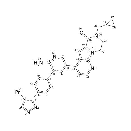 CC(C)n1cnnc1-c1ccc(-c2cc(-c3ccnc4c3cc3n4CCN(CC4CC4)C3=O)cnc2N)cc1